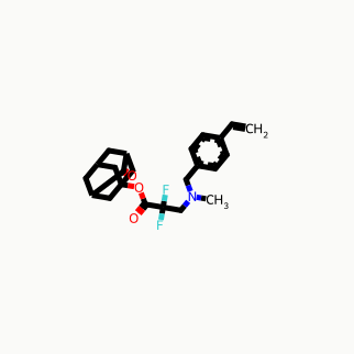 C=Cc1ccc(CN(C)CC(F)(F)C(=O)OC23CC4CC(C2)C(=O)C(C4)C3)cc1